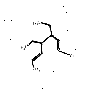 [CH2]C=CC(CC)C(C=CC)CC